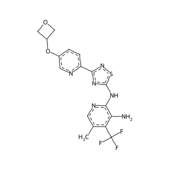 Cc1cnc(Nc2nc(-c3ccc(OC4COC4)cn3)ns2)c(N)c1C(F)(F)F